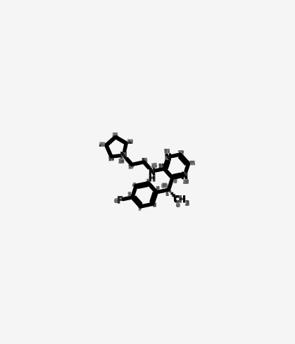 C[C@H](c1ccc(F)cc1)c1n[c]cnc1NCCN1CCCC1